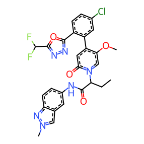 CCC(C(=O)Nc1ccc2nn(C)cc2c1)n1cc(OC)c(-c2cc(Cl)ccc2-c2nnc(C(F)F)o2)cc1=O